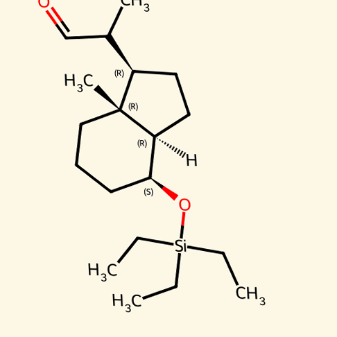 CC[Si](CC)(CC)O[C@H]1CCC[C@]2(C)[C@@H](C(C)C=O)CC[C@@H]12